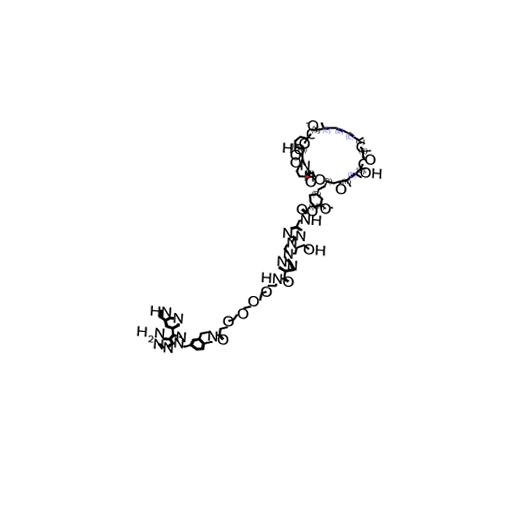 CO[C@H]1CC2CC[C@@H](C)[C@@](O)(O2)C(=O)C(=O)N2CCCC[C@H]2C(=O)O[C@H](CC[C@@H]2CC[C@@H](OC(=O)NCc3cnc(N4CCN(c5ncc(C(=O)NCCOCCOCCOCCOCCC(=O)N6CCc7cc(Cn8nc(-c9cnc%10[nH]ccc%10c9)c9c(N)ncnc98)ccc7C6)cn5)CC4CO)nc3)[C@H](OC)C2)CC(=O)[C@H](C)/C=C(\C)[C@@H](O)CC(=O)[C@H](C)C[C@H](C)/C=C/C=C/C=C/1C